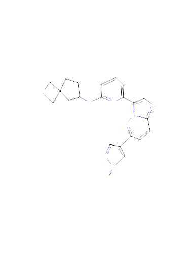 Cn1cc(-c2ccc3ncc(-c4cccc(NC5CCC6(CNC6)C5)n4)n3n2)cn1